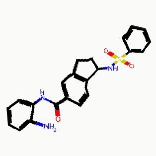 Nc1ccccc1NC(=O)c1ccc2c(c1)CCC2NS(=O)(=O)c1ccccc1